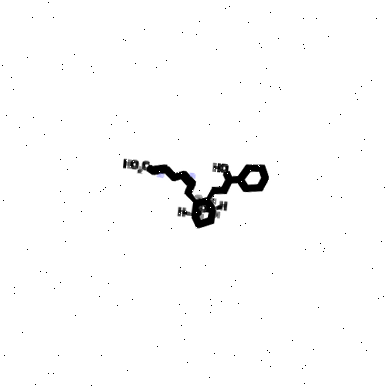 O=C(O)/C=C/C/C=C\C[C@H]1[C@@H](CCC(O)C2CCCCC2)[C@H]2CC[C@@H]1O2